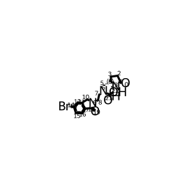 O=C1CC[C@@H](CN(CCN2Cc3cc(Br)ccc3C2=O)C(=O)O)N1